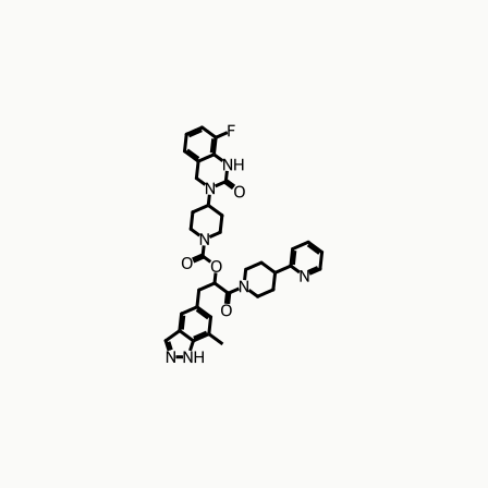 Cc1cc(CC(OC(=O)N2CCC(N3Cc4cccc(F)c4NC3=O)CC2)C(=O)N2CCC(c3ccccn3)CC2)cc2cn[nH]c12